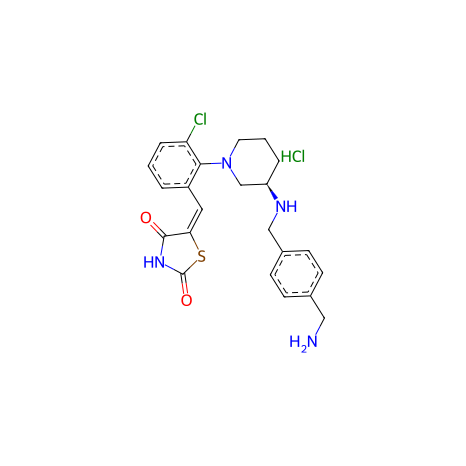 Cl.NCc1ccc(CN[C@@H]2CCCN(c3c(Cl)cccc3C=C3SC(=O)NC3=O)C2)cc1